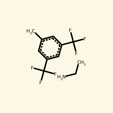 CCN.Cc1cc(C(F)(F)F)cc(C(F)(F)F)c1